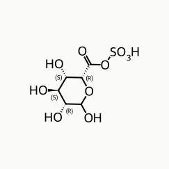 O=C(OS(=O)(=O)O)[C@@H]1OC(O)[C@H](O)[C@@H](O)[C@@H]1O